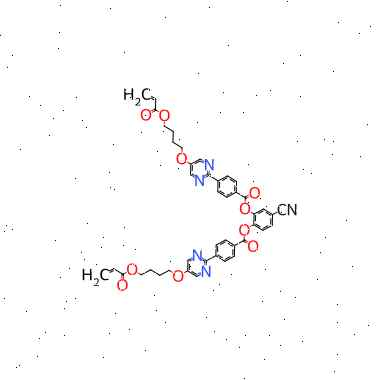 C=CC(=O)OCCCCOc1cnc(-c2ccc(C(=O)Oc3ccc(C#N)cc3OC(=O)c3ccc(-c4ncc(OCCCCOC(=O)C=C)cn4)cc3)cc2)nc1